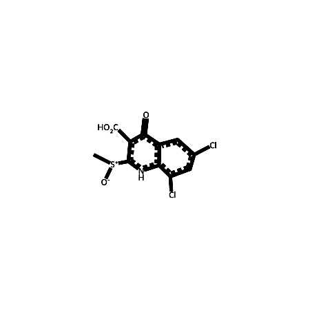 C[S+]([O-])c1[nH]c2c(Cl)cc(Cl)cc2c(=O)c1C(=O)O